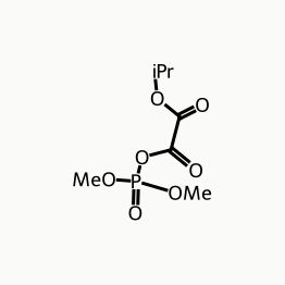 COP(=O)(OC)OC(=O)C(=O)OC(C)C